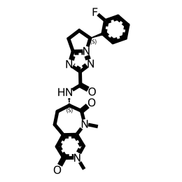 CN1C(=O)[C@@H](NC(=O)c2nc3n(n2)[C@H](c2ccccc2F)CC3)CCc2cc(=O)n(C)cc21